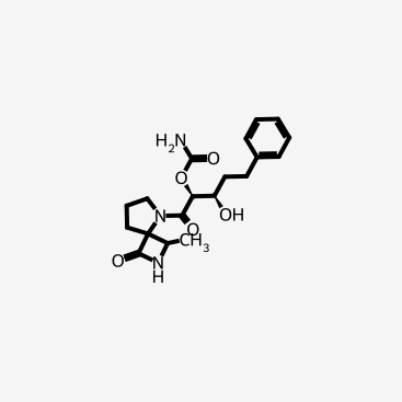 CC1NC(=O)C12CCCN2C(=O)[C@@H](OC(N)=O)[C@H](O)CCc1ccccc1